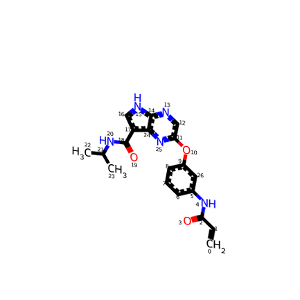 C=CC(=O)Nc1cccc(Oc2cnc3[nH]cc(C(=O)NC(C)C)c3n2)c1